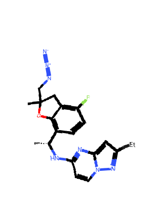 CCc1cc2nc(N[C@H](C)c3ccc(F)c4c3OC(C)(CN=[N+]=[N-])C4)ccn2n1